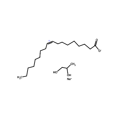 CC(O)CO.CCCCCCCC/C=C\CCCCCCCC(=O)[O-].[Na+]